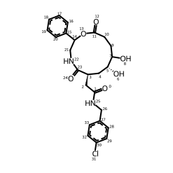 O=C(C[C@@H]1C[C@@H](O)C(O)CCC(=O)OC(c2ccccc2)CNC1=O)NCc1ccc(Cl)cc1